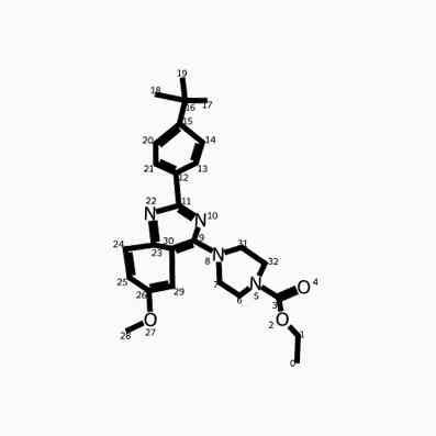 CCOC(=O)N1CCN(c2nc(-c3ccc(C(C)(C)C)cc3)nc3ccc(OC)cc23)CC1